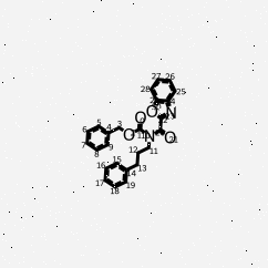 O=C(OCc1ccccc1)N(CCCc1ccccc1)C(=O)c1nc2ccccc2o1